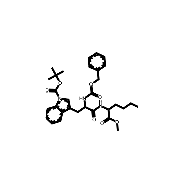 CCCCC(NC(=O)C(Cc1cn(C(=O)OC(C)(C)C)c2ccccc12)NC(=O)OCc1ccccc1)C(=O)OC